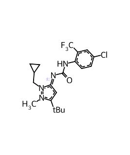 Cn1c(C(C)(C)C)c/c(=N\C(=O)Nc2ccc(Cl)cc2C(F)(F)F)n1CC1CC1